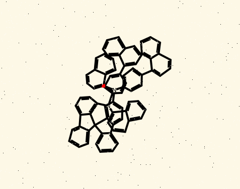 c1ccc2c(c1)-c1ccc(N(c3ccc(-c4cccc5ccccc45)cc3)c3cccc4ccccc34)cc1C21c2ccccc2-c2cccc(N(c3ccc(-c4cccc5ccccc45)cc3)c3cccc4ccccc34)c21